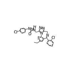 CCc1cc2c(s1)-n1c(nnc1CNC(=O)Nc1ccc(Cl)cc1)CN=C2c1ccccc1Cl